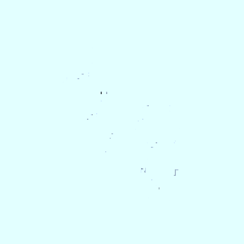 C=C(OC(=O)CC)C(C)c1ccccc1N(C)C(F)(F)F